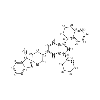 [2H]C1c2ccccc2CC12CCC(c1cnc3c(N4CCCc5ncccc54)nn(C4CCCCO4)c3n1)CC2